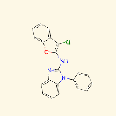 Clc1c(Nc2nc3ccccc3n2-c2ccccc2)oc2ccccc12